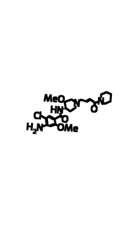 COc1cc(N)c(Cl)cc1C(=O)N[C@H]1CCN(CC=CC(=O)N2CCCCC2)C[C@H]1OC